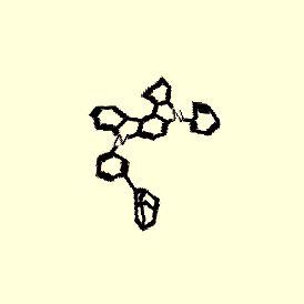 c1ccc(-n2c3ccccc3c3c4c5ccccc5n(-c5cccc(C6C7CC8CC(C7)CC6C8)c5)c4ccc32)cc1